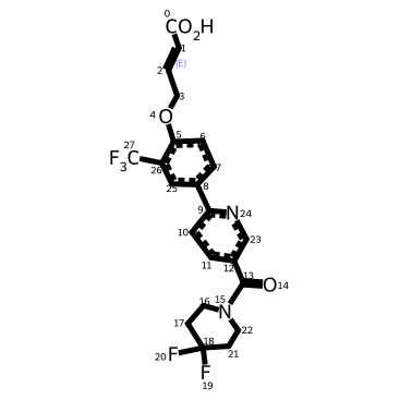 O=C(O)/C=C/COc1ccc(-c2ccc(C(=O)N3CCC(F)(F)CC3)cn2)cc1C(F)(F)F